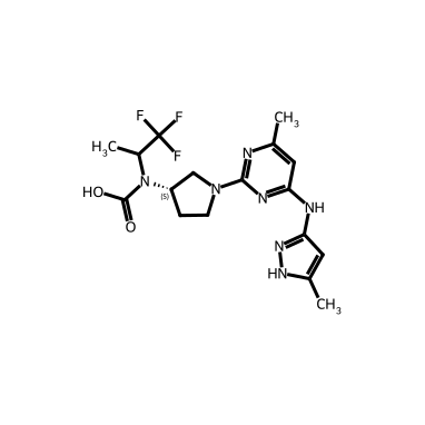 Cc1cc(Nc2cc(C)[nH]n2)nc(N2CC[C@H](N(C(=O)O)C(C)C(F)(F)F)C2)n1